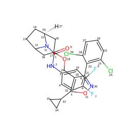 O=C(Nc1ccc(F)c(F)c1)N1C2CC[C@H]1CC(OCc1c(-c3c(Cl)cccc3Cl)noc1C1CC1)C2